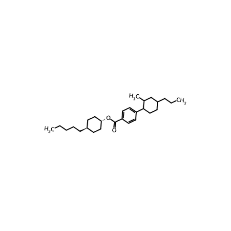 CCCCC[C@H]1CC[C@H](OC(=O)c2ccc(C3CCC(CCC)CC3C)cc2)CC1